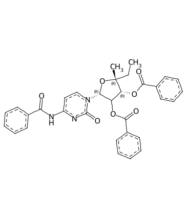 CC[C@@]1(C)O[C@@H](n2ccc(NC(=O)c3ccccc3)nc2=O)C(OC(=O)c2ccccc2)[C@H]1OC(=O)c1ccccc1